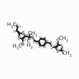 C=C1SC(SC)=C(SCc2ccc(CSC(C)(C)C3=C(SC)S/C(=C/CC)S3)cc2)S1